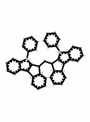 c1ccc(-n2c3c(c4ccccc42)-c2ccccc2C3CC2c3ccccc3-c3c2n(-c2ccccc2)c2ccccc32)cc1